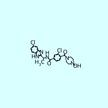 CC(NC(=O)c1ccc(C(=O)N2CCN(O)CC2)c(Cl)c1)c1nc2cc(Cl)ccc2[nH]1